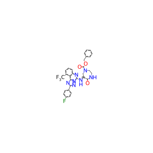 O=C1NCCN(C(=O)OCc2ccccc2)C[C@H]1Nc1nc2cccc(C(F)(F)F)c2c2nc(-c3ccc(F)cc3)nn12